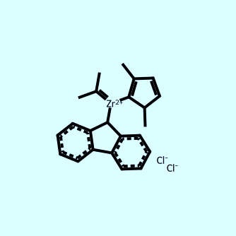 CC1=[C]([Zr+2](=[C](C)C)[CH]2c3ccccc3-c3ccccc32)C(C)C=C1.[Cl-].[Cl-]